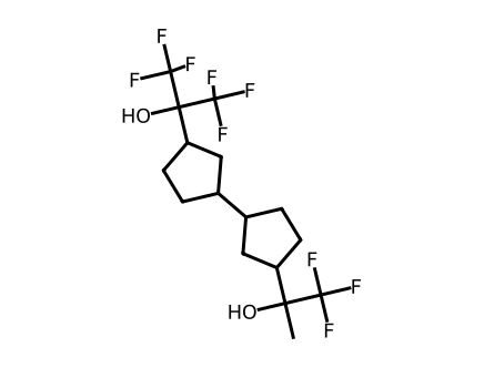 CC(O)(C1CCC(C2CCC(C(O)(C(F)(F)F)C(F)(F)F)C2)C1)C(F)(F)F